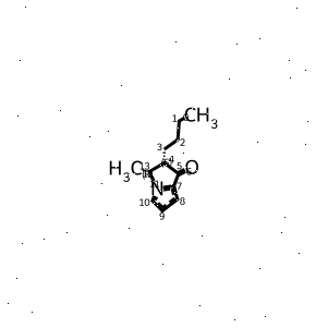 CCCC[C@@H]1C(=O)c2cccn2[C@@H]1C